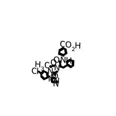 CC1C(=O)N(C(Cc2ccccc2)C(=O)Nc2ccc(C(=O)O)cc2)CC(=O)N1c1cc(Cl)ccc1-n1cnnn1